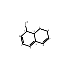 IC1C=CC=C2C=CCCC21